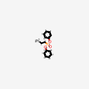 CC(C)CCP(=O)(Oc1ccccc1)Oc1ccccc1